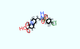 O=C(O)c1ccc2cc(CCNS(=O)(=O)c3ccc(Cl)cc3)ccn2c1=O